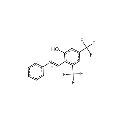 Oc1cc(C(F)(F)F)cc(C(F)(F)F)c1/C=N/c1ccccc1